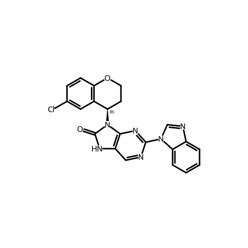 O=c1[nH]c2cnc(-n3cnc4ccccc43)nc2n1[C@@H]1CCOc2ccc(Cl)cc21